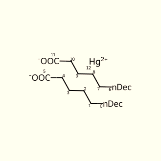 CCCCCCCCCCCCCCC(=O)[O-].CCCCCCCCCCCCCCC(=O)[O-].[Hg+2]